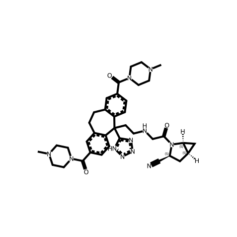 CN1CCN(C(=O)c2ccc3c(c2)CCc2cc(C(=O)N4CCN(C)CC4)ccc2C3(CCNCC(=O)N2[C@H](C#N)C[C@@H]3C[C@@H]32)c2nnn[nH]2)CC1